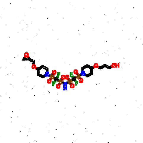 O=S(=O)(NS(=O)(=O)C(F)(F)S(=O)(=O)N1CCC(OCC2CO2)CC1)C(F)(F)S(=O)(=O)N1CCC(OCCCO)CC1